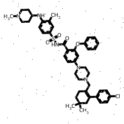 Cc1cc(S(=O)(=O)NC(=O)c2ccc(N3CCN(CC4=C(c5ccc(Cl)cc5)CC(C)(C)CC4)CC3)cc2Oc2ccccc2)ccc1NC1CCN(C)CC1